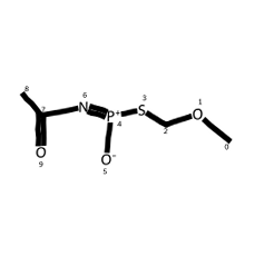 COCS/[P+]([O-])=N/C(C)=O